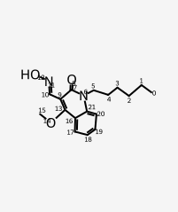 CCCCCCn1c(=O)c(C=NO)c(OC)c2ccccc21